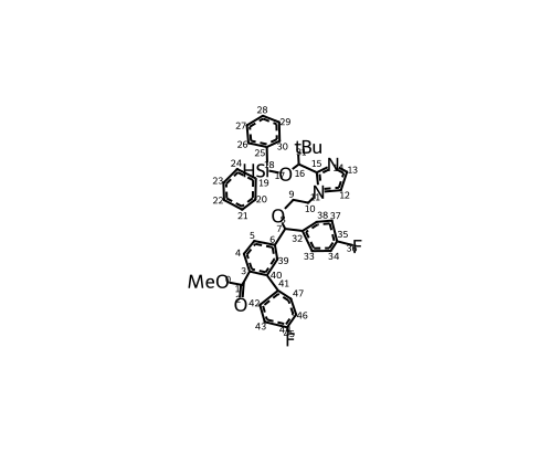 COC(=O)c1ccc(C(OCCn2ccnc2C(O[SiH](c2ccccc2)c2ccccc2)C(C)(C)C)c2ccc(F)cc2)cc1-c1ccc(F)cc1